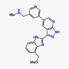 COCc1cccc2[nH]c(-c3n[nH]c4ncc(-c5cncc(CNC(C)(C)C)c5)cc34)nc12